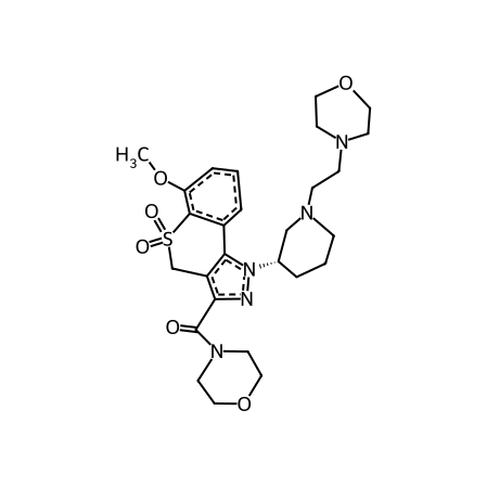 COc1cccc2c1S(=O)(=O)Cc1c(C(=O)N3CCOCC3)nn([C@H]3CCCN(CCN4CCOCC4)C3)c1-2